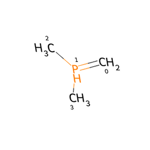 C=[PH](C)C